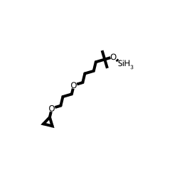 CC(C)(CCCCOCCCOC1CC1)O[SiH3]